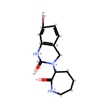 O=C1NCCCCC1N1Cc2ccc(Br)cc2NC1=O